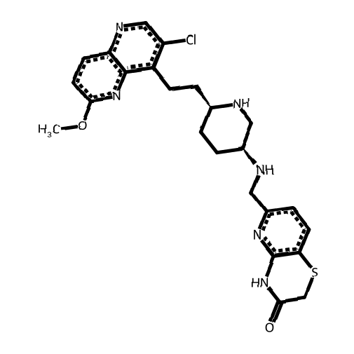 COc1ccc2ncc(Cl)c(CC[C@@H]3CC[C@H](NCc4ccc5c(n4)NC(=O)CS5)CN3)c2n1